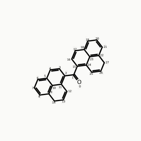 O=C(c1ccc2cccc3c2c1C=CC3)c1ccc2cccc3c2c1C=CC3